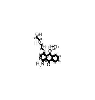 Cl.Cl.Nc1nnc(NCCNCCO)c2c1C(=O)c1ccccc1C2=O